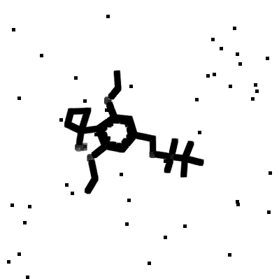 CCOc1cc(CO[Si](C)(C)C(C)(C)C)cc(OCC)c1C1(O)CCC1